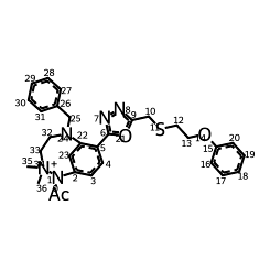 CC(=O)N1c2ccc(-c3nnc(CSCCOc4ccccc4)o3)c(c2)N(Cc2ccccc2)CC[N+]1(C)C